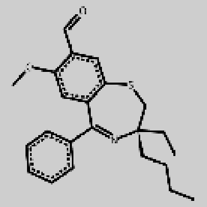 CCCC[C@]1(CC)CSc2cc(C=O)c(OC)cc2C(c2ccccc2)=N1